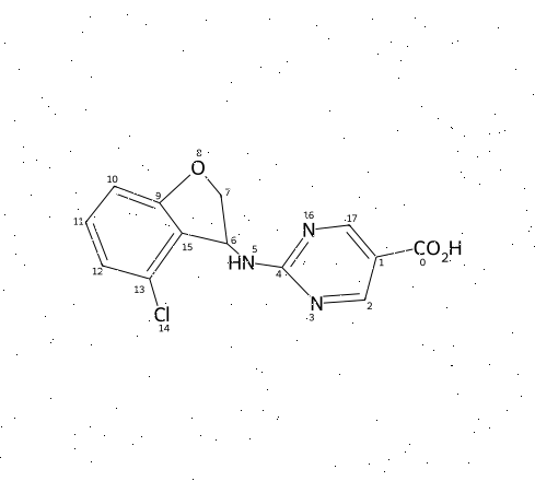 O=C(O)c1cnc(NC2COc3cccc(Cl)c32)nc1